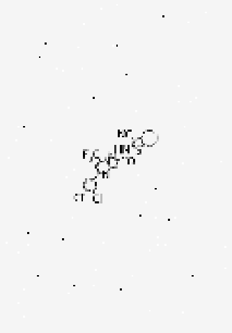 N#Cc1c(NC(=O)c2cc3nc(-c4ccc(Cl)c(Cl)c4)cc(C(F)(F)F)n3n2)sc2c1CCCCC2